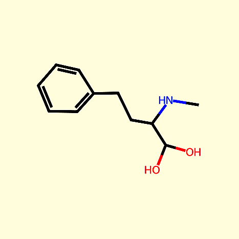 CNC(CCc1ccccc1)C(O)O